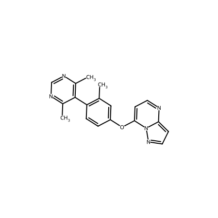 Cc1cc(Oc2ccnc3ccnn23)ccc1-c1c(C)ncnc1C